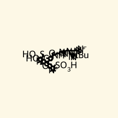 CN1c2cc3c(cc2C(CS(=O)(=O)O)=CC1(C)C)C(c1ccc(C(=O)NCCCn2cc(CN(CCCN=[N+]=[N-])Cc4cn(C(C)(C)C)nn4)nn2)cc1C(=O)O)=c1cc2c(cc1O3)=[N+](C)C(C)(C)C=C2CS(=O)(=O)O